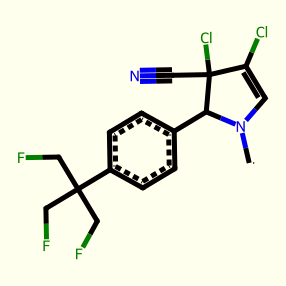 [CH2]N1C=C(Cl)C(Cl)(C#N)C1c1ccc(C(CF)(CF)CF)cc1